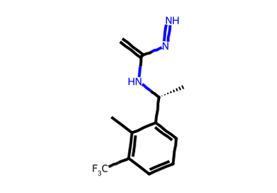 C=C(N=N)N[C@H](C)c1cccc(C(F)(F)F)c1C